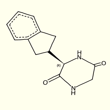 O=C1CNC(=O)[C@@H](C2Cc3ccccc3C2)N1